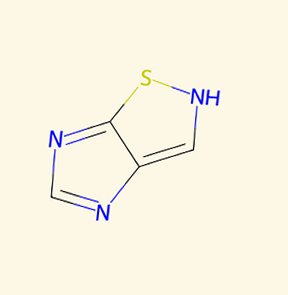 c1nc2c[nH]sc-2n1